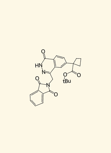 CC(C)(C)OC(=O)C1(c2ccc3c(=O)[nH]nc(CN4C(=O)c5ccccc5C4=O)c3c2)CCC1